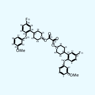 COc1cccc(Sc2ccc(F)cc2C2CCN(OC(=O)C(=O)ON3CCC(c4cc(F)ccc4Sc4cccc(OC)c4)CC3)CC2)c1